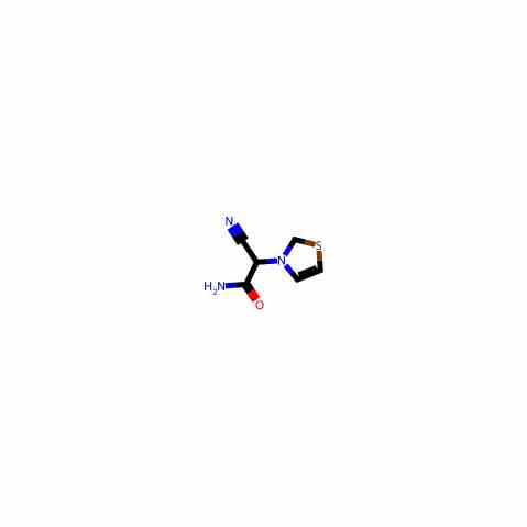 N#CC(C(N)=O)N1C=CSC1